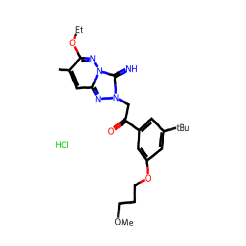 CCOc1nn2c(=N)n(CC(=O)c3cc(OCCCOC)cc(C(C)(C)C)c3)nc2cc1C.Cl